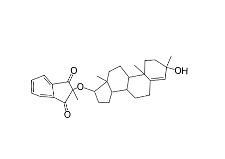 CC1(O)C=C2CCC3C(CCC4(C)C(OC5(C)C(=O)c6ccccc6C5=O)CCC34)C2(C)CC1